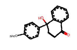 COc1ccc(C2(O)CCC(=O)c3ccccc32)cc1